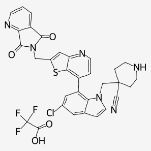 N#CC1(Cn2ccc3cc(Cl)cc(-c4ccnc5cc(CN6C(=O)c7cccnc7C6=O)sc45)c32)CCNCC1.O=C(O)C(F)(F)F